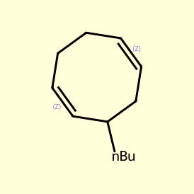 CCCCC1/C=C\CC/C=C\C1